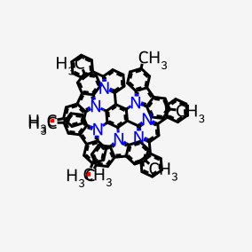 Cc1ccc2c(c1)c1cc(C)ccc1n2-c1c(-c2cccc(-c3ccccc3)n2)c(-n2c3ccc(C)cc3c3cc(C)ccc32)c(-n2c3ccc(C)cc3c3cc(C)ccc32)c(-n2c3ccc(C)cc3c3cc(C)ccc32)c1-c1nc(-c2ccccc2)cc(-c2ccccc2)n1